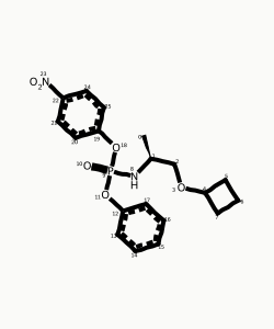 C[C@@H](COC1CCC1)NP(=O)(Oc1ccccc1)Oc1ccc([N+](=O)[O-])cc1